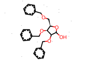 OC1O[C@H](COCc2ccccc2)[C@H](OCc2ccccc2)C1OCc1ccccc1